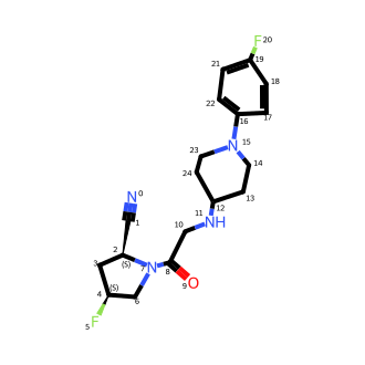 N#C[C@@H]1C[C@H](F)CN1C(=O)CNC1CCN(c2ccc(F)cc2)CC1